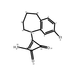 CCc1ccc2c(c1)N(c1c(N)c(=O)c1=O)CCCC2